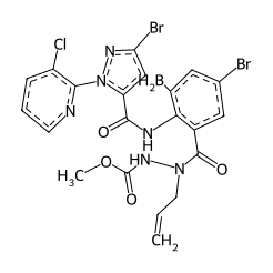 Bc1cc(Br)cc(C(=O)N(CC=C)NC(=O)OC)c1NC(=O)c1cc(Br)nn1-c1ncccc1Cl